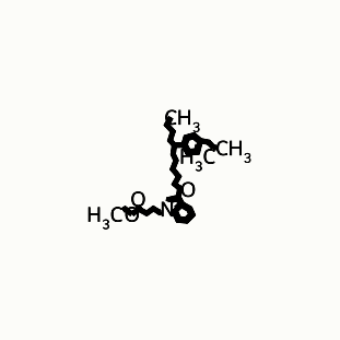 CCCCC(CCCCCC(=O)c1cn(CCCC(=O)OCC)c2ccccc12)c1ccc(CC(C)C)cc1